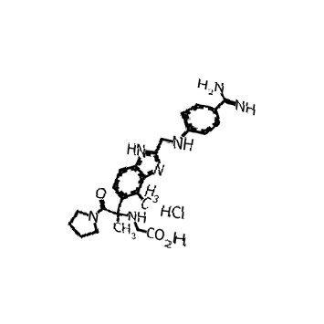 Cc1c(C(C)(NCC(=O)O)C(=O)N2CCCC2)ccc2[nH]c(CNc3ccc(C(=N)N)cc3)nc12.Cl